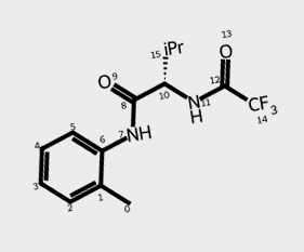 Cc1ccccc1NC(=O)[C@@H](NC(=O)C(F)(F)F)C(C)C